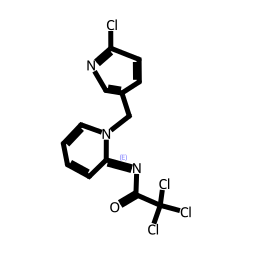 O=C(/N=c1\ccccn1Cc1ccc(Cl)nc1)C(Cl)(Cl)Cl